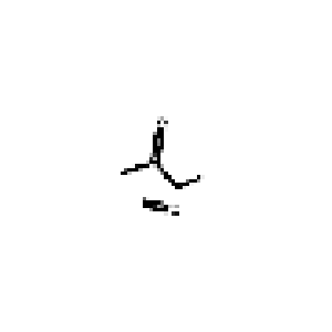 C=O.CC(=O)CCl